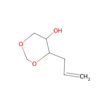 C=CCC1OCOCC1O